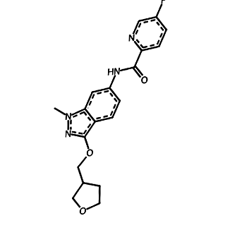 Cn1nc(OCC2CCOC2)c2ccc(NC(=O)c3ccc(F)cn3)cc21